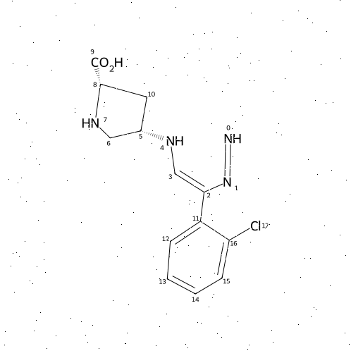 N=N/C(=C\N[C@@H]1CN[C@H](C(=O)O)C1)c1ccccc1Cl